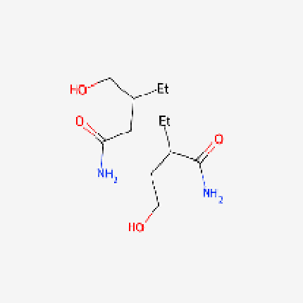 CCC(CCO)C(N)=O.CCC(CO)CC(N)=O